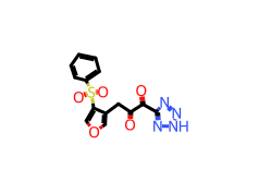 O=C(Cc1cocc1S(=O)(=O)c1ccccc1)C(=O)c1nn[nH]n1